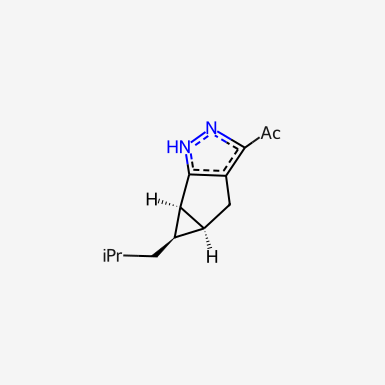 CC(=O)c1n[nH]c2c1C[C@H]1[C@@H](CC(C)C)[C@@H]21